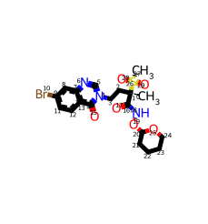 C[C@@](CCn1cnc2cc(Br)ccc2c1=O)(C(=O)NOC1CCCCO1)S(C)(=O)=O